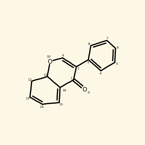 O=C1C(c2ccccc2)=COC2CC=CC=C12